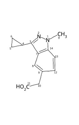 Cn1nc(C2CC2)c2cc(CC(=O)O)ccc21